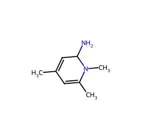 CC1=CC(N)N(C)C(C)=C1